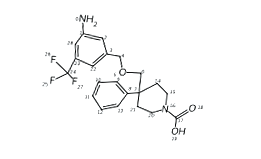 Nc1cc(COCC2(c3ccccc3)CCN(C(=O)O)CC2)cc(C(F)(F)F)c1